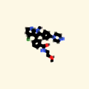 COCCNC(=O)c1cccc(-c2c(-c3ccc(N4CCNCC4)cc3)n(C)c3nccc(Cl)c23)c1